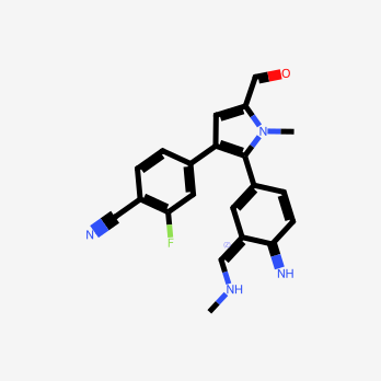 CN/C=C1/C=C(c2c(-c3ccc(C#N)c(F)c3)cc(C=O)n2C)C=CC1=N